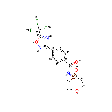 O=C(N=S1(=O)CCOCC1)c1ccc(-c2noc(C(F)(F)F)n2)cc1